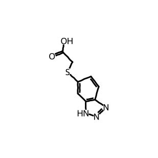 O=C(O)CSc1ccc2nn[nH]c2c1